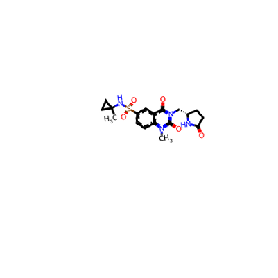 Cn1c(=O)n(C[C@@H]2CCC(=O)N2)c(=O)c2cc(S(=O)(=O)NC3(C)CC3)ccc21